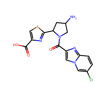 NC1CC(c2nc(C(=O)O)cs2)N(C(=O)c2cn3cc(Cl)ccc3n2)C1